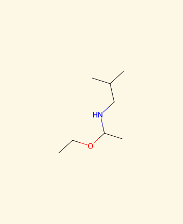 CCOC(C)NCC(C)C